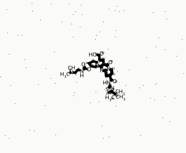 CN(C)CCNC(=O)O[C@@H]1CCCN(c2nc3cc(C(=O)Nc4nc(C(C)(C)C)cs4)ccn3c(=O)c2/C=C/C(=O)O)C1